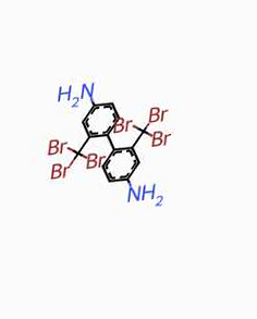 Nc1ccc(-c2ccc(N)cc2C(Br)(Br)Br)c(C(Br)(Br)Br)c1